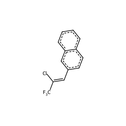 FC(F)(F)C(Cl)=Cc1ccc2ccccc2c1